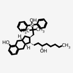 CCCCC[C@H](O)CC[C@H]1[C@H](CC(C)(C)[Si](O)(c2ccccc2)c2ccccc2)C[C@@H]2Cc3c(O)cccc3C[C@@H]21